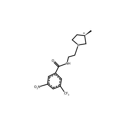 C[C@@H]1CCN(CCNC(=O)c2cc([N+](=O)[O-])cc(C(F)(F)F)c2)C1